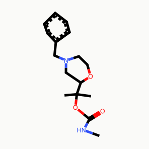 CNC(=O)OC(C)(C)C1CN(Cc2ccccc2)CCO1